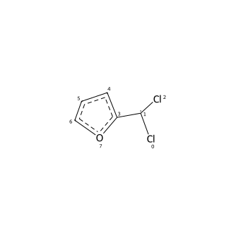 Cl[C](Cl)c1ccco1